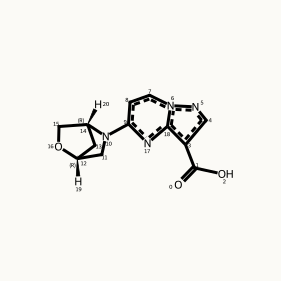 O=C(O)c1cnn2ccc(N3C[C@H]4C[C@@H]3CO4)nc12